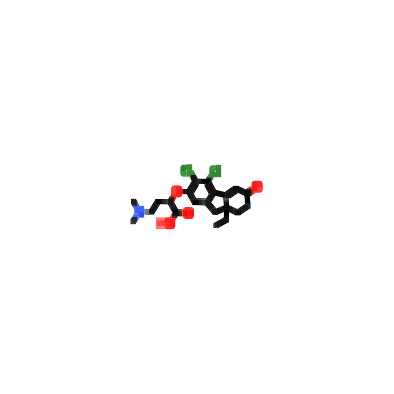 CCC12CCC(=O)C=C1c1c(cc(OC(CCN(C)C)C(=O)O)c(Cl)c1Cl)C2